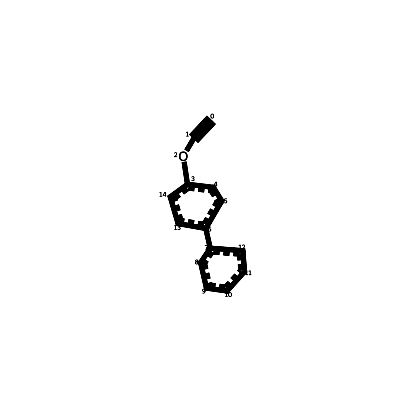 C#COc1ccc(-c2ccccc2)cc1